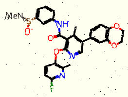 CN[S@+]([O-])c1cccc(NC(=O)c2c(Oc3ccc(F)nc3C)ncc(-c3ccc4c(c3)OCCO4)c2C)c1